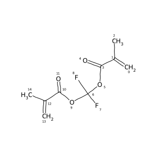 C=C(C)C(=O)OC(F)(F)OC(=O)C(=C)C